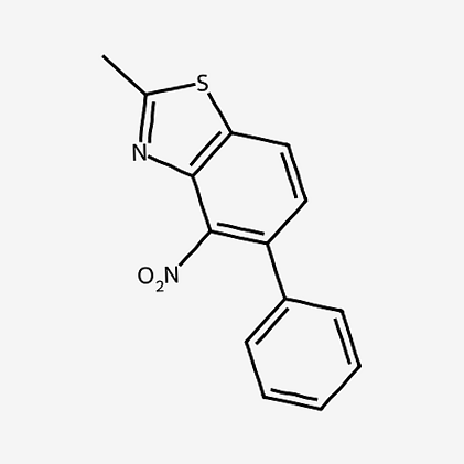 Cc1nc2c([N+](=O)[O-])c(-c3ccccc3)ccc2s1